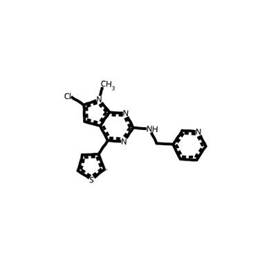 Cn1c(Cl)cc2c(-c3[c]scc3)nc(NCc3cccnc3)nc21